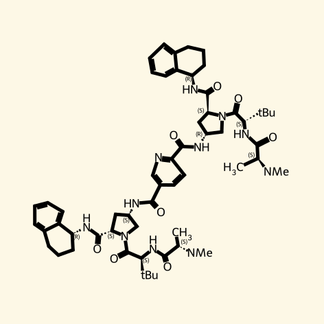 CN[C@@H](C)C(=O)N[C@H](C(=O)N1C[C@@H](NC(=O)c2ccc(C(=O)N[C@@H]3C[C@@H](C(=O)N[C@@H]4CCCc5ccccc54)N(C(=O)[C@@H](NC(=O)[C@H](C)NC)C(C)(C)C)C3)nc2)C[C@H]1C(=O)N[C@@H]1CCCc2ccccc21)C(C)(C)C